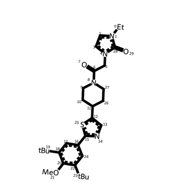 CCn1ccn(CC(=O)N2CCC(c3cnc(-c4cc(C(C)(C)C)c(OC)c(C(C)(C)C)c4)s3)CC2)c1=O